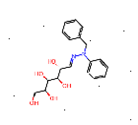 OC[C@H](O)[C@@H](O)[C@H](O)[C@H](O)C=NN(Cc1ccccc1)c1ccccc1